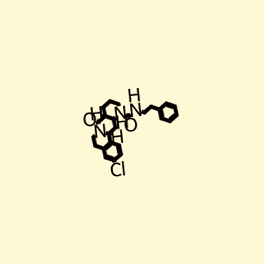 O=C(NCCc1ccccc1)N1CCC[C@H]2C(=O)N3CCc4cc(Cl)ccc4[C@@H]3C[C@H]21